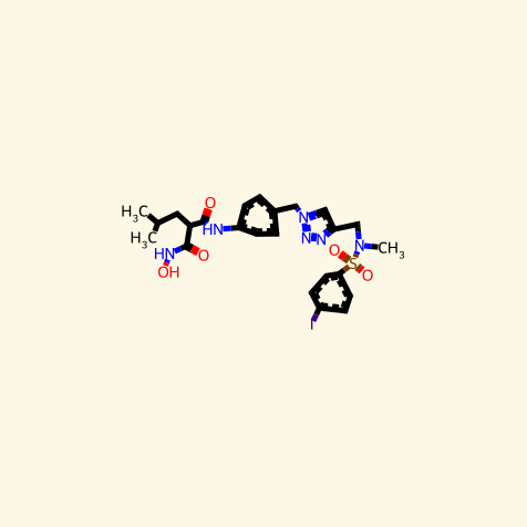 CC(C)CC(C(=O)NO)C(=O)Nc1ccc(Cn2cc(CN(C)S(=O)(=O)c3ccc(I)cc3)nn2)cc1